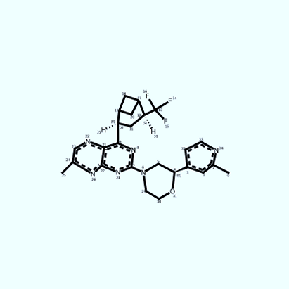 Cc1cc([C@@H]2CN(c3nc([C@@H]4C[C@H](C(F)(F)F)C5CC4C5)c4ncc(C)nc4n3)CCO2)ccn1